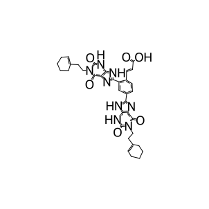 O=C(O)C=Cc1ccc(-c2nc3c(=O)n(CCC4=CCCCC4)c(=O)[nH]c3[nH]2)cc1-c1nc2c(=O)n(CCC3=CCCCC3)c(=O)[nH]c2[nH]1